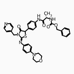 C[C@H](NC(=O)OCc1ccccc1)C(=O)Nc1ccc(C2S/C(=N\c3ccc(N4CCOCC4)cc3)N(Cc3ccncc3)C2=O)cc1